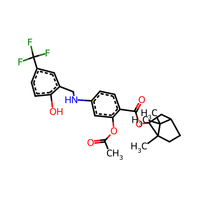 CC(=O)Oc1cc(NCc2cc(C(F)(F)F)ccc2O)ccc1C(=O)OC1CC2CCC1(C)C2(C)C